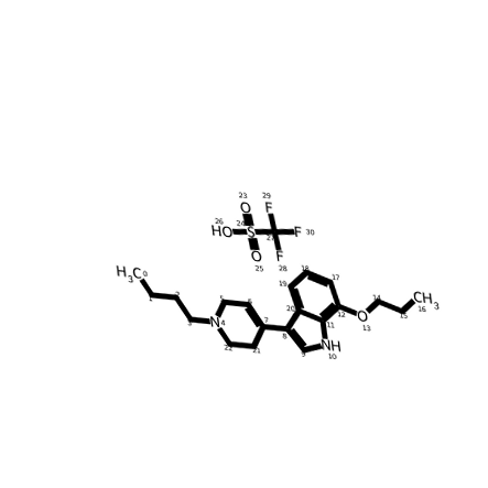 CCCCN1CC=C(c2c[nH]c3c(OCCC)cccc23)CC1.O=S(=O)(O)C(F)(F)F